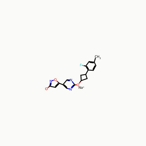 Cc1ccc(C2CC(Oc3ncc(-c4cc([O-])no4)cn3)C2)c(F)c1.[Na+]